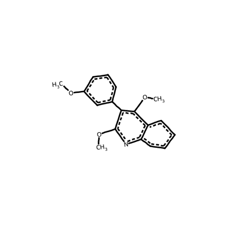 COc1cccc(-c2c(OC)nc3ccccc3c2OC)c1